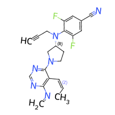 C#CCN(c1c(F)cc(C#N)cc1F)[C@@H]1CCN(c2ncnc(N=C)c2/C=C\C)C1